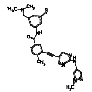 Cc1ccc(C(=O)Nc2cc(F)cc(CN(C)C)c2)cc1C#Cc1cnc(Nc2cnn(C)c2)nc1